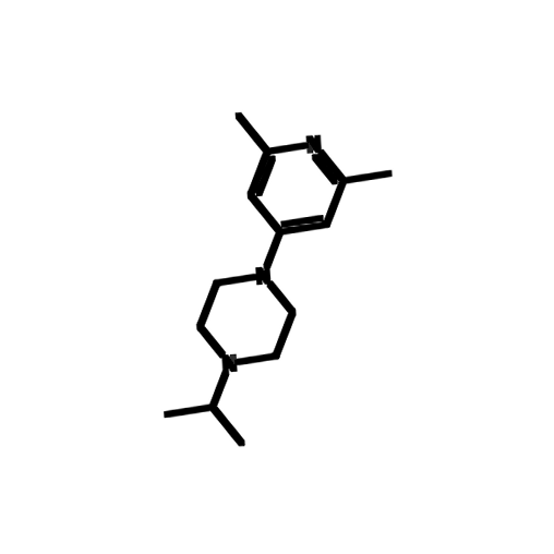 Cc1cc(N2CCN(C(C)C)CC2)cc(C)n1